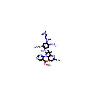 COc1cc(N(C)CCN(C)C)c(N)cc1NC1N(c2ncncc2C(=O)OC(C)C)c2ccc(C(C)C)nc2C1(C)C